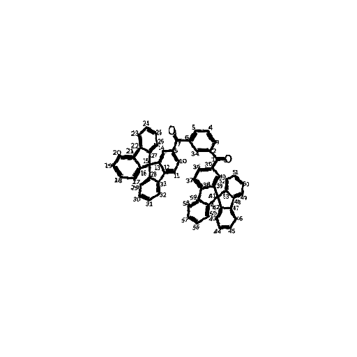 O=C(c1cccc(C(=O)c2ccc3c(c2)C2(c4ccccc4-c4ccccc42)c2ccccc2-3)c1)c1ccc2c(c1)C1(c3ccccc3-c3ccccc31)c1ccccc1-2